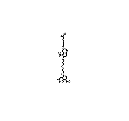 CCCc1c(OCCCOCCCOc2ccc3ccc(OCCCCCC(=O)O)cc3c2C(C)=O)ccc(C(C)=O)c1O